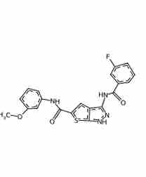 COc1cccc(NC(=O)c2cc3c(NC(=O)c4cccc(F)c4)n[nH]c3s2)c1